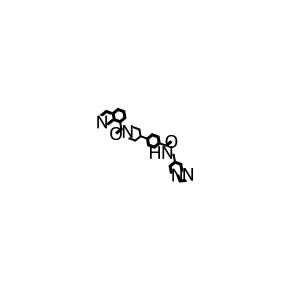 O=C(NCc1ccn2ccnc2c1)c1ccc(C2CCN(C(=O)c3cccc4ccncc34)CC2)cc1